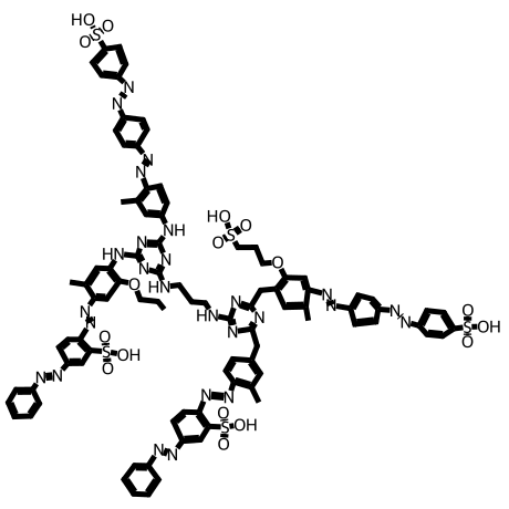 CCCOc1cc(N=Nc2ccc(N=Nc3ccccc3)cc2S(=O)(=O)O)c(C)cc1Nc1nc(NCCCNc2nc(Cc3ccc(N=Nc4ccc(N=Nc5ccccc5)cc4S(=O)(=O)O)c(C)c3)nc(Cc3cc(C)c(N=Nc4ccc(N=Nc5ccc(S(=O)(=O)O)cc5)cc4)cc3OCCCS(=O)(=O)O)n2)nc(Nc2ccc(N=Nc3ccc(N=Nc4ccc(S(=O)(=O)O)cc4)cc3)c(C)c2)n1